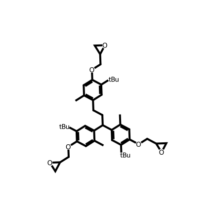 Cc1cc(OCC2CO2)c(C(C)(C)C)cc1CCC(c1cc(C(C)(C)C)c(OCC2CO2)cc1C)c1cc(C(C)(C)C)c(OCC2CO2)cc1C